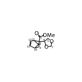 COC(=O)C1(C2COCO2)CC2C=CC1C2